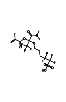 C=C(F)C(=O)OC(OCCCC(F)(F)C(F)(F)S(=O)(=O)O)(C(=O)N(C)C)C(F)(F)F